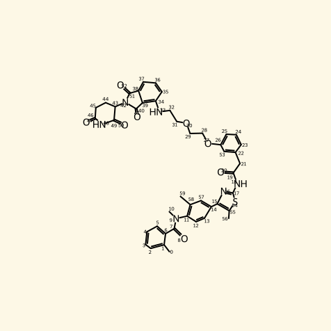 Cc1ccccc1C(=O)N(C)c1ccc(-c2nc(NC(=O)Cc3cccc(OCCOCCNc4cccc5c4C(=O)N(C4CCC(=O)NC4=O)C5=O)c3)sc2C)cc1C